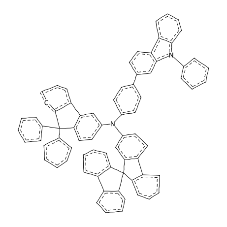 c1ccc(-n2c3ccccc3c3ccc(-c4ccc(N(c5ccc6c(c5)-c5ccccc5C6(c5ccccc5)c5ccccc5)c5ccc6c(c5)C5(c7ccccc7-c7ccccc75)c5ccccc5-6)cc4)cc32)cc1